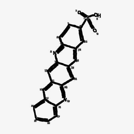 O=S(=O)(O)c1ccc2nc3cc4cc5ccccc5nc4cc3cc2c1